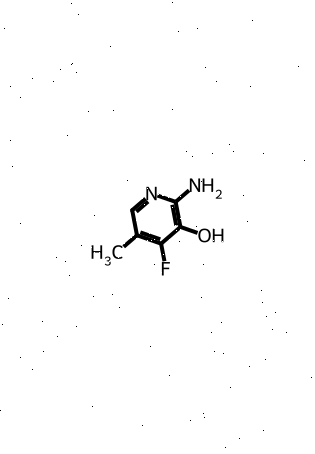 Cc1cnc(N)c(O)c1F